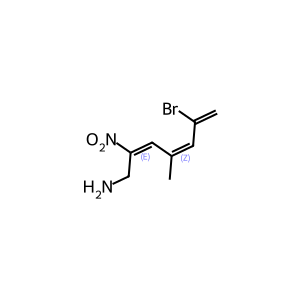 C=C(Br)/C=C(C)\C=C(/CN)[N+](=O)[O-]